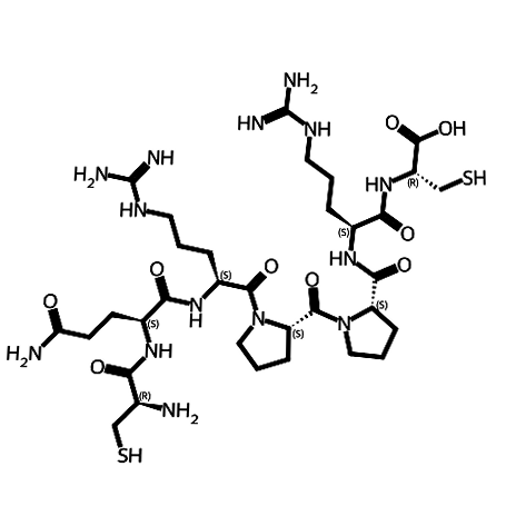 N=C(N)NCCC[C@H](NC(=O)[C@@H]1CCCN1C(=O)[C@@H]1CCCN1C(=O)[C@H](CCCNC(=N)N)NC(=O)[C@H](CCC(N)=O)NC(=O)[C@@H](N)CS)C(=O)N[C@@H](CS)C(=O)O